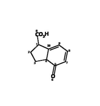 O=C(O)C1CCC2C(=O)C=CC=C12